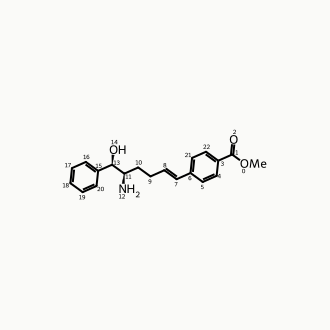 COC(=O)c1ccc(/C=C/CC[C@@H](N)[C@H](O)c2ccccc2)cc1